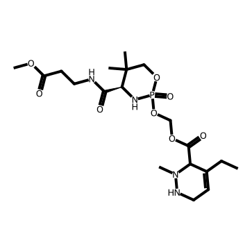 CCC1=CCNN(C)C1C(=O)OCOP1(=O)N[C@@H](C(=O)NCCC(=O)OC)C(C)(C)CO1